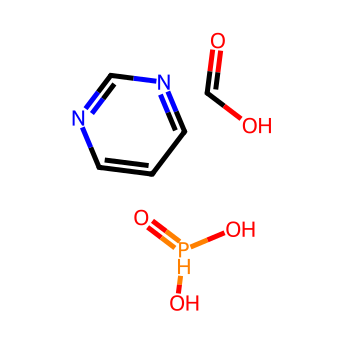 O=CO.O=[PH](O)O.c1cncnc1